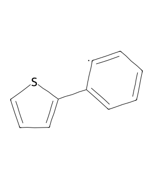 [c]1ccccc1-c1cccs1